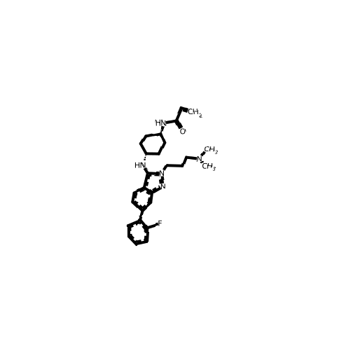 C=CC(=O)N[C@H]1CC[C@H](Nc2c3ccc(-c4ccccc4F)cc3nn2CCCN(C)C)CC1